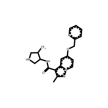 Cc1nn2ccc(OCc3ccccn3)cc2c1C(=O)NC1CNCC1C(F)(F)F